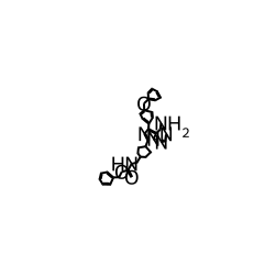 Nc1ncnn2c(C3CCC(CNC(=O)OCc4ccccc4)CC3)nc(-c3ccc(Oc4ccccc4)cc3)c12